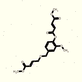 COC(=O)/C=C/COCc1ccc(OC(=O)/C=C/C(=O)OC)c(OC)c1